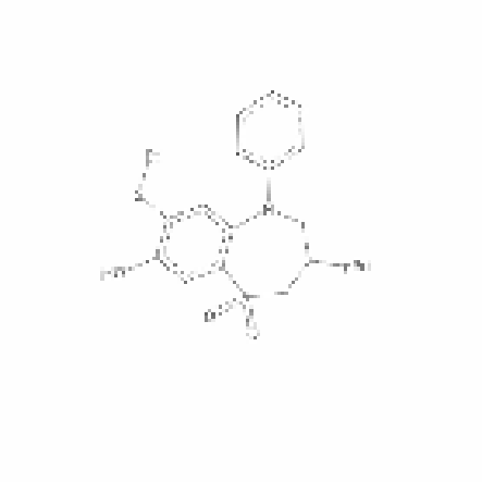 CCCCC1CN(c2ccccc2)c2cc(SCC)c(O)cc2S(=O)(=O)C1